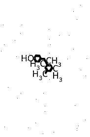 Cc1cc(C)cc(C(C)(C)Cc2ccc(O)cc2)c1